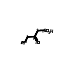 CC(C)CC(=O)CS(=O)(=O)O